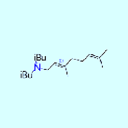 CCC(C)N(C/C=C(\C)CCC=C(C)C)C(C)CC